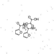 NC(=O)c1ccco1.NC(=O)c1ccco1.O=C(O)C(=O)O